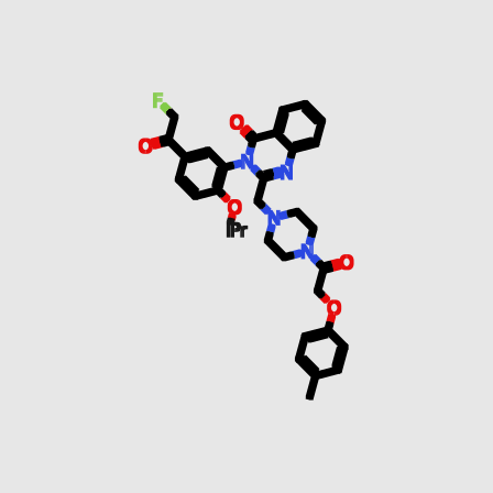 Cc1ccc(OCC(=O)N2CCN(Cc3nc4ccccc4c(=O)n3-c3cc(C(=O)CF)ccc3OC(C)C)CC2)cc1